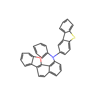 c1ccc(N(c2ccc3sc4ccccc4c3c2)c2cccc3ccc4c5ccccc5oc4c23)cc1